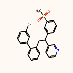 CS(=O)(=O)c1cccc(C(Cc2ccccc2-c2cccc(C#N)c2)c2cccnc2)c1